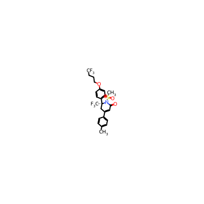 Cc1ccc(C2=CC(=O)N(S(C)(=O)=O)[C@@](c3ccc(OCCCC(F)(F)F)cc3)(C(F)(F)F)C2)cc1